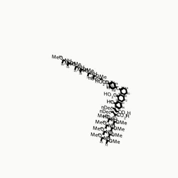 CCCCCCCCCCC=CC(=O)O.CCCCCCCCCCCC(=O)O.CCCCCCCCCCCC(C(=O)O)C(=O)O.COC(C)NC(C)OC.COC(C)NC(C)OC.COC(C)NC(C)OC.COC(C)NC(C)OC.COC(C)NC(C)OC.COC(C)NC(C)OC.COC(C)NC(C)OC.O=C(O)C1=CCCCC1.O=C(O)C1CCCCC1.O=C(O)c1ccccc1.Oc1ccccc1